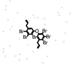 C=CCc1cc(Oc2cc(CC=C)c(Br)c(Br)c2Br)c(Br)c(Br)c1Br